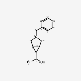 CC(O)C1C2CN(Cc3ccccc3)CC21